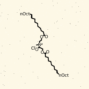 CCCCCCCCC=CCCCCCCCC(=O)OCC[N+](C)(C)C(=O)COC(=O)CCCCCCCC=CCCCCCCCC.[Cl-]